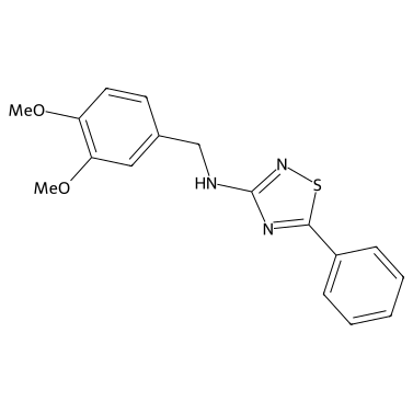 COc1ccc(CNc2nsc(-c3ccccc3)n2)cc1OC